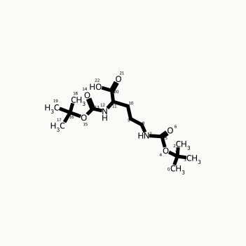 CC(C)(C)OC(=O)NCCCC(NC(=O)OC(C)(C)C)C(=O)O